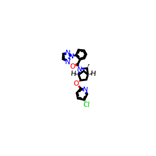 C[C@@H]1[C@H]2C[C@@H](Oc3ccc(Cl)cn3)[C@H](C2)N1C(=O)c1ccccc1-n1nccn1